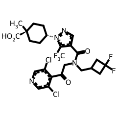 C[C@]1(C(=O)O)CC[C@H](n2ncc(C(=O)N(CC(=O)c3c(Cl)cncc3Cl)CC3CC(F)(F)C3)c2C(F)(F)F)CC1